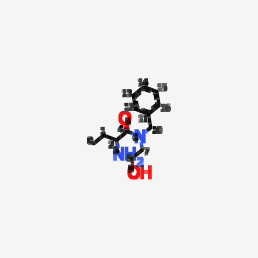 CC[C@H](N)C(=O)N(CCO)Cc1ccccc1